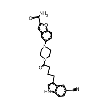 N#Cc1ccc2[nH]cc(CCCC(=O)N3CCN(c4ccc5oc(C(N)=O)cc5c4)CC3)c2c1